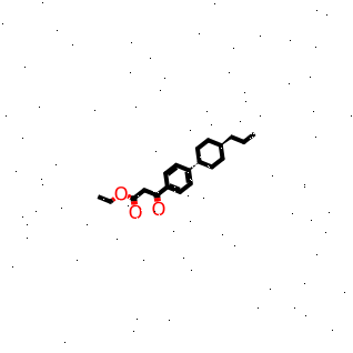 CCC[C@H]1CC[C@H](c2ccc(C(=O)CC(=O)OCC)cc2)CC1